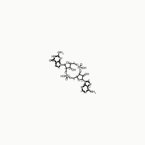 Nc1nc2c(ccn2C2OC3COP(=O)(O)OC4C(COP(=O)(O)OC2C3O)OC(n2cnc3c(N)ncnc32)C4O)c(=O)[nH]1